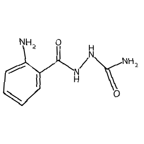 NC(=O)NNC(=O)c1ccccc1N